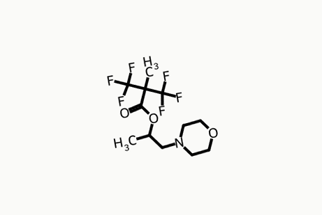 CC(CN1CCOCC1)OC(=O)C(C)(C(F)(F)F)C(F)(F)F